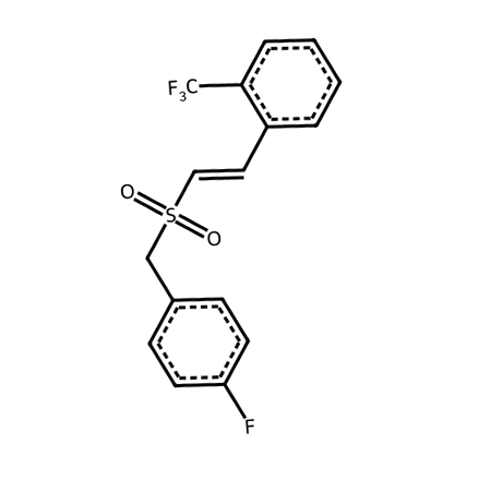 O=S(=O)(C=Cc1ccccc1C(F)(F)F)Cc1ccc(F)cc1